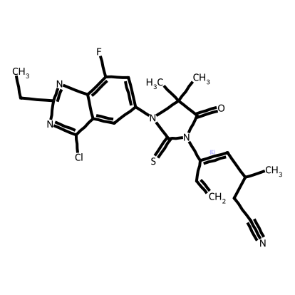 C=C/C(=C\C(C)CC#N)N1C(=O)C(C)(C)N(c2cc(F)c3nc(CC)nc(Cl)c3c2)C1=S